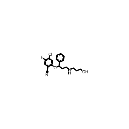 N#Cc1cc(F)c(Cl)cc1OC(CCNCCCO)c1ccccc1